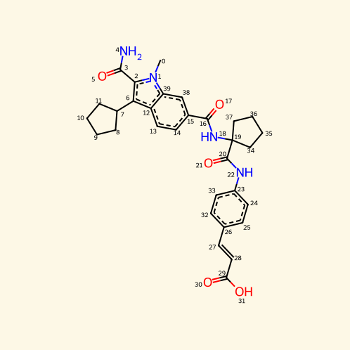 Cn1c(C(N)=O)c(C2CCCC2)c2ccc(C(=O)NC3(C(=O)Nc4ccc(C=CC(=O)O)cc4)CCCC3)cc21